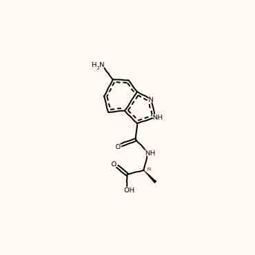 C[C@H](NC(=O)c1[nH]nc2cc(N)ccc12)C(=O)O